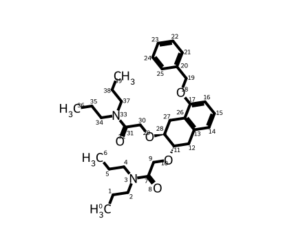 CCCN(CCC)C(=O)CO[C@H]1Cc2cccc(OCc3ccccc3)c2C[C@@H]1OCC(=O)N(CCC)CCC